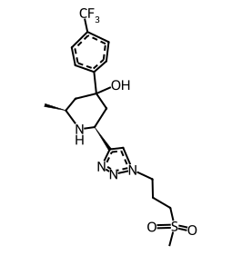 C[C@H]1CC(O)(c2ccc(C(F)(F)F)cc2)C[C@@H](c2cn(CCCS(C)(=O)=O)nn2)N1